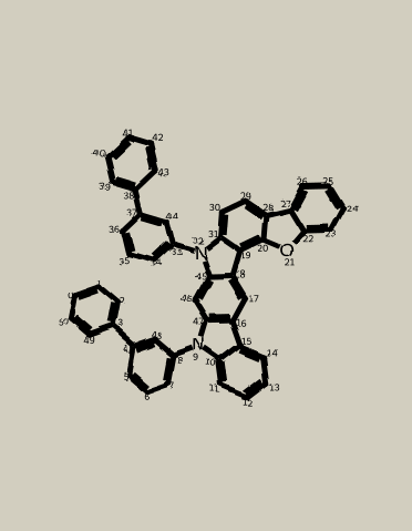 c1ccc(-c2cccc(-n3c4ccccc4c4cc5c6c7oc8ccccc8c7ccc6n(-c6cccc(-c7ccccc7)c6)c5cc43)c2)cc1